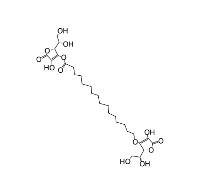 O=C(CCCCCCCCCCCCCCCOC1=C(O)C(=O)O[C@@H]1[C@@H](O)CO)OC1=C(O)C(=O)O[C@@H]1[C@@H](O)CO